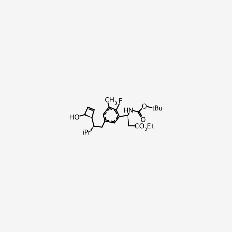 CCOC(=O)C[C@H](NC(=O)OC(C)(C)C)c1cc(C[C@@H](C(C)C)[C@@H]2C=CC2O)cc(C)c1F